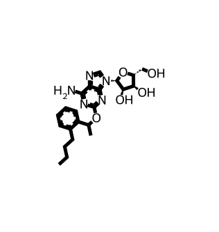 CCCCc1ccccc1C(C)Oc1nc(N)c2ncn([C@@H]3O[C@H](CO)[C@@H](O)[C@H]3O)c2n1